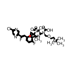 CN1C(N(COCC[Si](C)(C)C)C(=O)O)=NC(C)(c2cc(C=C(F)c3cnc(Cl)cn3)ccc2F)C2(CC2)S1(=O)=O